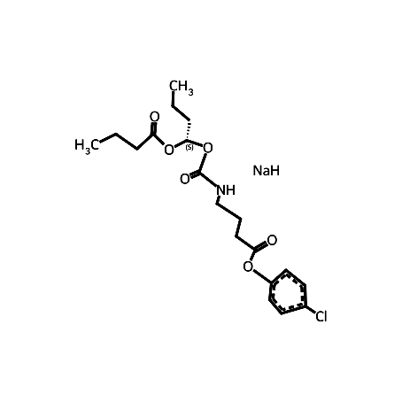 CCCC(=O)O[C@H](CCC)OC(=O)NCCCC(=O)Oc1ccc(Cl)cc1.[NaH]